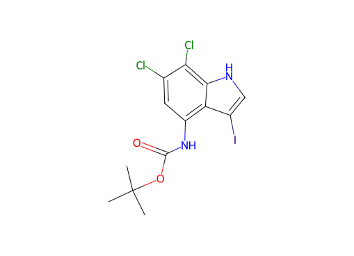 CC(C)(C)OC(=O)Nc1cc(Cl)c(Cl)c2[nH]cc(I)c12